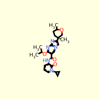 CC(C)Oc1nc2nc([C@@]3(C)CCC(C)OC3)cn2cc1C(=O)Nc1cccn(C2CC2)c1=O